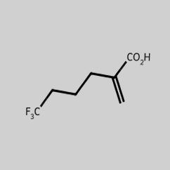 C=C(CCCC(F)(F)F)C(=O)O